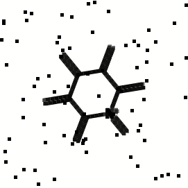 C=c1c(=C)c(=C)[n+](=C)c(=C)c1=C